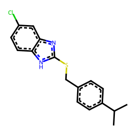 CC(C)c1ccc(CSc2nc3cc(Cl)ccc3[nH]2)cc1